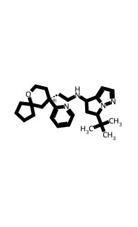 CC(C)(C)C1CC(NCC[C@@]2(c3ccccn3)CCOC3(CCCC3)C2)c2ccnn21